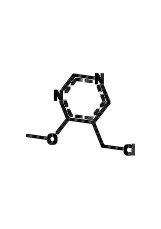 COc1ncncc1CCl